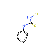 S=C(NS)Nc1ccccc1